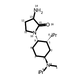 CC(C)[C@@H]1C[C@@H](N(C)C(C)C)CC[C@@H]1N1CCC(N)C1=O